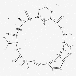 CC1OC(=O)C2CCCN(N2)C(=O)[C@H](C)NC(=O)[C@H](C(C)C)NC(=O)C(C)(C)/C=C/c2ccc3cnc1nc3c2